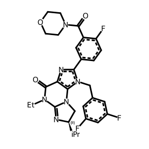 CCN1C(=O)c2nc(-c3ccc(F)c(C(=O)N4CCOCC4)c3)n(Cc3cc(F)cc(F)c3)c2N2C[C@@H](C(C)C)N=C12